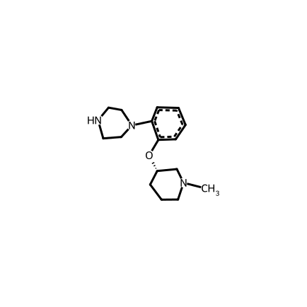 CN1CCC[C@H](Oc2ccccc2N2CCNCC2)C1